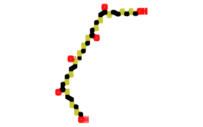 O=C(CSCSCC[S+]([O-])CSCSCSC(=O)CSCSCC(=O)SCCSCSCO)SCCSCSCO